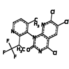 Cc1ccnc(C(C)C(F)(F)F)c1-n1c(=O)nc(Cl)c2cc(Cl)c(Cl)nc21